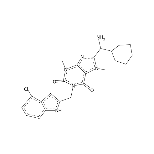 Cn1c(C(N)C2CCCCC2)nc2c1c(=O)n(Cc1cc3c(Cl)cccc3[nH]1)c(=O)n2C